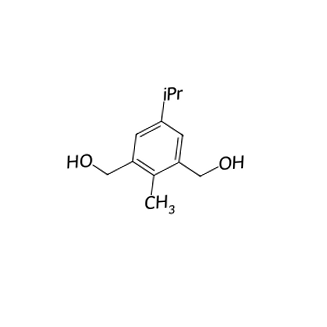 Cc1c(CO)cc(C(C)C)cc1CO